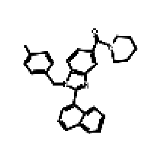 Cc1ccc(Cn2c(-c3cccc4ccccc34)nc3cc(C(=O)N4CCCCC4)ccc32)cc1